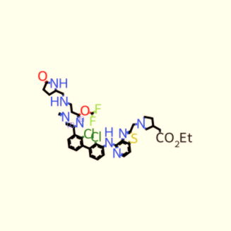 C=N/C=C(\N=C(/CCNCC1CCC(=O)N1)OC(F)F)c1cccc(-c2cccc(Nc3nccc4sc(CN5CCC(CC(=O)OCC)C5)nc34)c2Cl)c1Cl